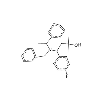 CC(c1ccccc1)N(Cc1ccccc1)C(CC(C)(C)O)c1ccc(F)cc1